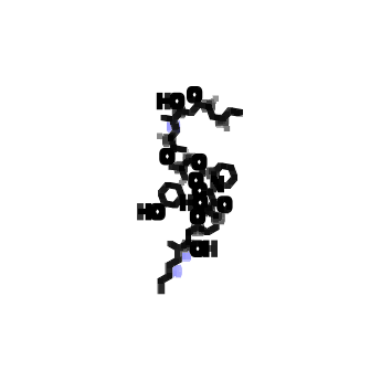 C=C/C=C/C=C(\C)[C@@H](O)C[C@@H]1CC[C@@H](C)[C@](O)(C(=O)C(=O)N2CCCC[C@H]2C(=O)O[C@@H](CC(=O)[C@H](C)/C=C(\C)[C@@H](O)CC(=O)[C@H](C)C[C@@H](C)C=C)[C@H](C)C[C@H]2CC[C@H](O)CC2)O1